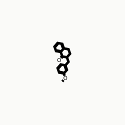 COc1cccc(CC2CCc3ccccc3C2=O)c1